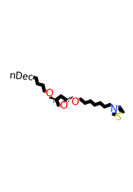 CCCCCCCCCCCCCCOC[C@@H]1CO[C@@H](COCCCCCCC[n+]2ccsc2)C1